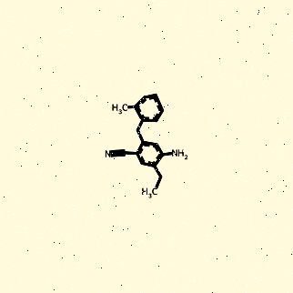 CCc1cc(C#N)c(Cc2ccccc2C)cc1N